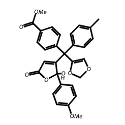 COC(=O)c1ccc(C(C2=COCO2)(C2=CC(=O)OC2(O)c2ccc(OC)cc2)c2ccc(C)cc2)cc1